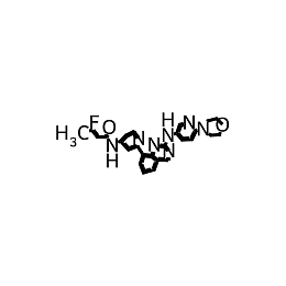 C/C(F)=C/C(=O)Nc1ccnc(-c2cccc3cnc(Nc4ccc(N5CCOCC5)nc4)nc23)c1